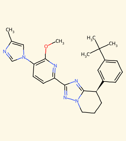 COc1nc(-c2nc3n(n2)CCC[C@@H]3c2cccc(C(C)(C)C)c2)ccc1-n1cnc(C)c1